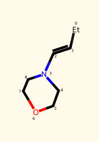 CC/C=C/N1CCOCC1